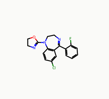 Fc1ccccc1C1=NCCN(C2=NCCO2)c2ccc(Cl)cc21